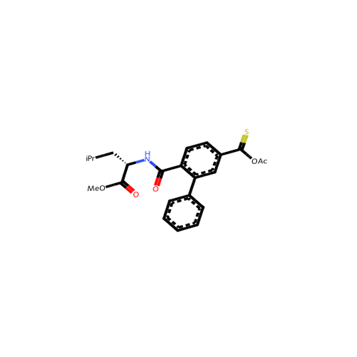 COC(=O)[C@H](CC(C)C)NC(=O)c1ccc(C(=S)OC(C)=O)cc1-c1ccccc1